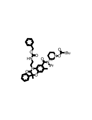 Cc1cc2c(cc1C(=O)N(C(C)C)[C@@H]1CCCN(OC(=O)C(C)(C)C)C1)N(CCNC(=O)OCc1ccccc1)C(=O)C(C)(c1ccccc1)O2